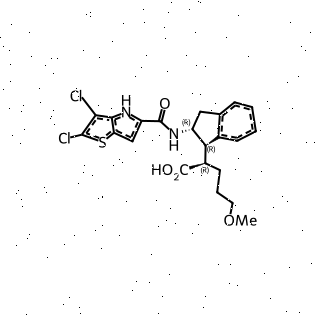 COCCC[C@@H](C(=O)O)[C@@H]1c2ccccc2C[C@H]1NC(=O)c1cc2sc(Cl)c(Cl)c2[nH]1